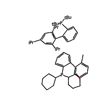 CC(C)c1cc(C(C)C)c(-c2ccccc2P(C(C)(C)C)C(C)(C)C)c(C(C)C)c1.Cc1ccccc1-c1ccccc1P(C1CCCCC1)C1CCCCC1